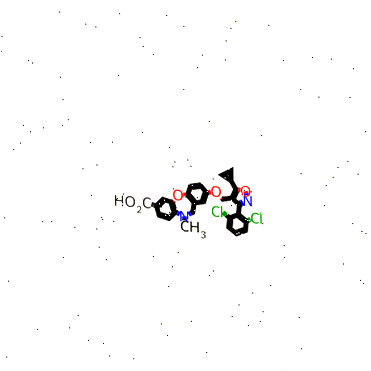 CN1Cc2cc(OCc3c(-c4c(Cl)cccc4Cl)noc3C3CC3)ccc2Oc2cc(C(=O)O)ccc21